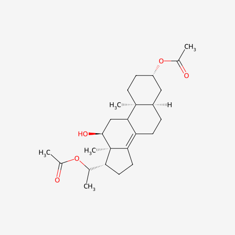 CC(=O)OC(C)[C@H]1CCC2=C3CC[C@@H]4C[C@@H](OC(C)=O)CC[C@]4(C)C3C[C@H](O)[C@@]21C